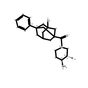 CCC12CC3CC(C(=O)N4CC[C@H](N)[C@@H](F)C4)(C1)CC(c1ccccc1)(C3)C2